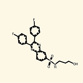 O=S(=O)(NCCCO)c1ccc2nc(-c3ccc(F)cc3)c(-c3ccc(F)cc3)nc2c1